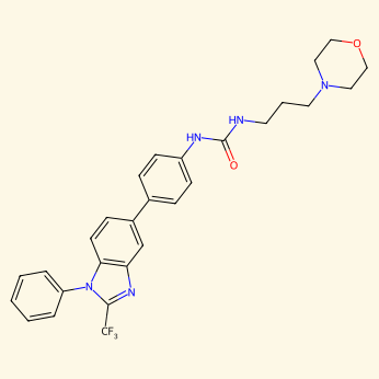 O=C(NCCCN1CCOCC1)Nc1ccc(-c2ccc3c(c2)nc(C(F)(F)F)n3-c2ccccc2)cc1